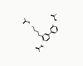 C=C(C)C(=O)OCCCCc1cc(-c2cccc(OC(=O)C(=C)C)c2)ccc1OC(=O)C(=C)C